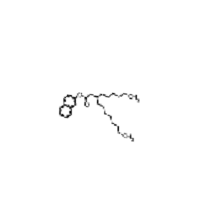 CCCCCCCCC(CCCCCC)CC(=O)Oc1ccc2ccccc2c1